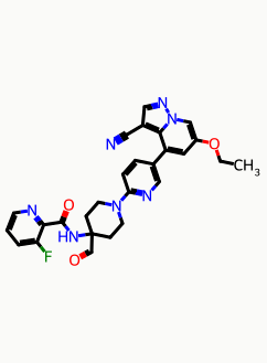 CCOc1cc(-c2ccc(N3CCC(C=O)(NC(=O)c4ncccc4F)CC3)nc2)c2c(C#N)cnn2c1